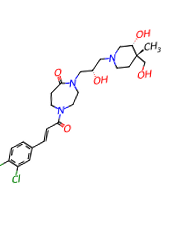 C[C@@]1(CO)CCN(C[C@H](O)CN2CCN(C(=O)/C=C/c3ccc(Cl)c(Cl)c3)CCC2=O)C[C@@H]1O